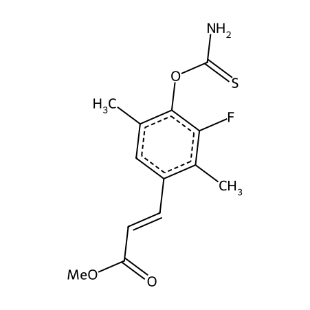 COC(=O)C=Cc1cc(C)c(OC(N)=S)c(F)c1C